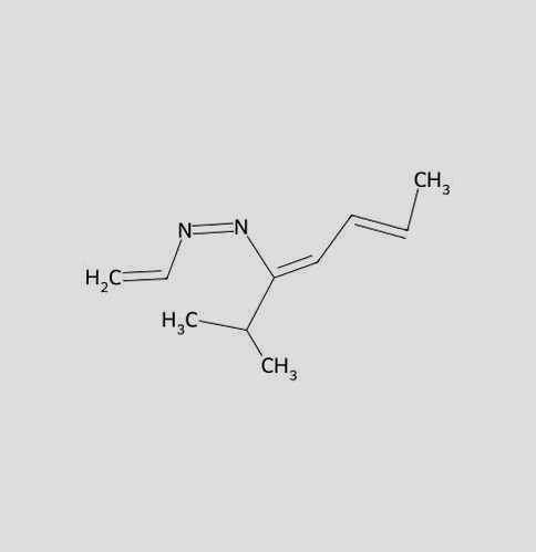 C=C\N=N/C(=C\C=C\C)C(C)C